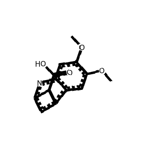 COc1cc2nc3cc(c2cc1OC)C3C(=O)O